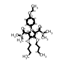 CCCCOc1c(OCCCC)c(C(=O)N(C)C)n(-c2ccc(OCC)cc2)c1C(=O)N(C)C